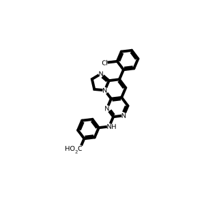 O=C(O)c1cccc(Nc2ncc3c(n2)N2CCN=C2C(c2ccccc2Cl)=C3)c1